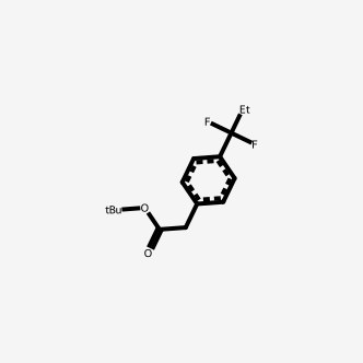 CCC(F)(F)c1ccc(CC(=O)OC(C)(C)C)cc1